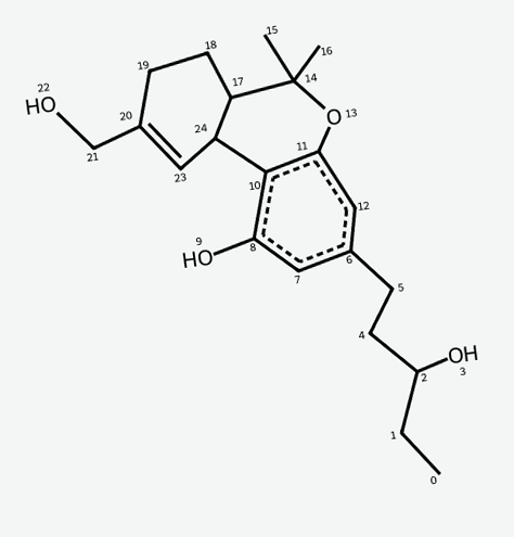 CCC(O)CCc1cc(O)c2c(c1)OC(C)(C)C1CCC(CO)=CC21